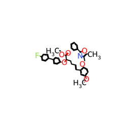 CCOC(=O)C(CCC=Cc1cc(OC)ccc1OCc1nc(-c2ccccc2)oc1C)Oc1ccc(-c2ccc(F)cc2)cc1